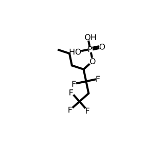 CCCC(OP(=O)(O)O)C(F)(F)CC(F)(F)F